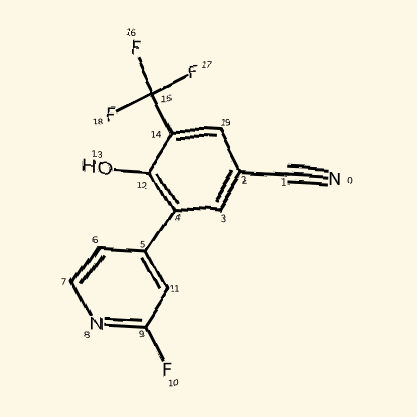 N#Cc1cc(-c2ccnc(F)c2)c(O)c(C(F)(F)F)c1